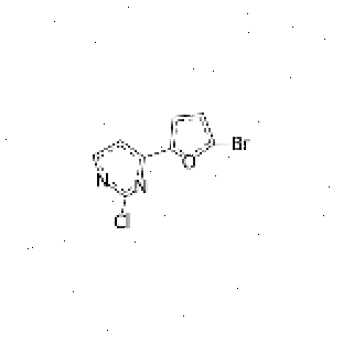 Clc1nccc(-c2ccc(Br)o2)n1